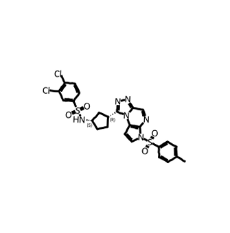 Cc1ccc(S(=O)(=O)n2ccc3c2ncc2nnc([C@@H]4CC[C@H](NS(=O)(=O)c5ccc(Cl)c(Cl)c5)C4)n23)cc1